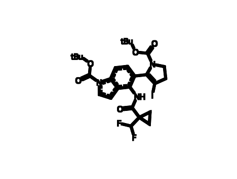 CC(C)(C)OC(=O)N1CCC(I)=C1c1ccc2c(ccn2C(=O)OC(C)(C)C)c1NC(=O)C1(C(F)F)CC1